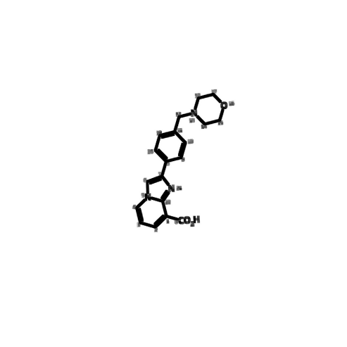 O=C(O)c1cccn2cc(-c3ccc(CN4CCOCC4)cc3)nc12